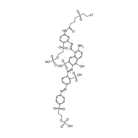 Nc1ccc2c(O)c(/N=N/c3ccc(/N=N/c4ccc(S(=O)(=O)CCOS(=O)(=O)O)cc4)cc3S(=O)(=O)O)c(S(=O)(=O)O)cc2c1/N=N/c1cc(NC(=O)CCCS(=O)(=O)CCCl)ccc1S(=O)(=O)CCOS(=O)(=O)O